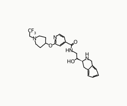 O=C(NCC(O)[C@@H]1Cc2ccccc2CN1)c1ccnc(OC2CCN(CC(F)(F)F)CC2)c1